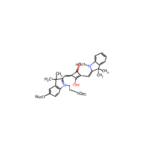 CCCCCCCCCCCC[N+]1=C(/C=C2/C(=O)C(/C=C3\N(CCCCCCCC)c4ccccc4C3(C)C)=C2O)C(C)(C)c2cc(OC)ccc21